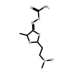 CC1OC(CC[S+](C)[O-])SC1=NOC(N)=O